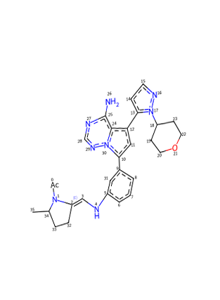 CC(=O)N1/C(=C/Nc2cccc(-c3cc(-c4ccnn4C4CCOCC4)c4c(N)ncnn34)c2)CCC1C